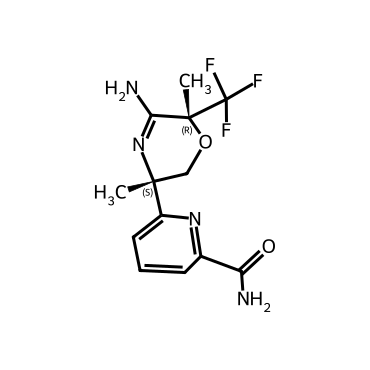 C[C@]1(c2cccc(C(N)=O)n2)CO[C@@](C)(C(F)(F)F)C(N)=N1